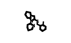 Cc1ccccc1CSc1cc2ccccc2n1-c1ccccn1